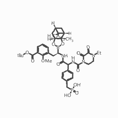 CCN1CCN(C(=O)NC(C(=O)N[C@@H](Cc2cccc(C(=O)OC(C)(C)C)c2OC)B2O[C@@H]3C[C@@H]4C[C@@H](C4(C)C)[C@]3(C)O2)c2ccc(CP(=O)(O)O)cc2)C(=O)C1=O